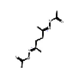 CC(=O)O/N=C(\C)CC/C(C)=N/OC(C)=O